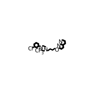 FC(F)(F)c1c(Cl)cccc1N1CCN(CCCCOc2ccc3cccnc3n2)CC1